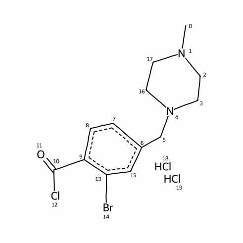 CN1CCN(Cc2ccc(C(=O)Cl)c(Br)c2)CC1.Cl.Cl